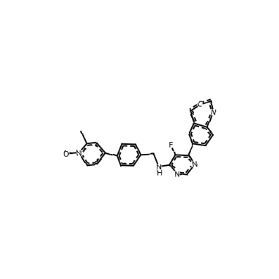 Cc1cc(-c2ccc(CNc3ncnc(-c4ccc5ncccc5c4)c3F)cc2)cc[n+]1[O-]